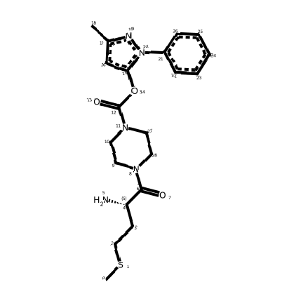 CSCC[C@H](N)C(=O)N1CCN(C(=O)Oc2cc(C)nn2-c2ccccc2)CC1